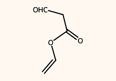 C=COC(=O)CC=O